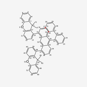 CC1(C)c2ccccc2Oc2cccc(-c3cccc4c(-c5ccccc5-c5ccccc5)c5cccc(-c6cccc7c6C(C)(C)c6ccccc6O7)c5cc34)c21